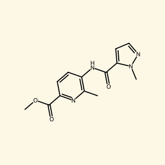 COC(=O)c1ccc(NC(=O)c2ccnn2C)c(C)n1